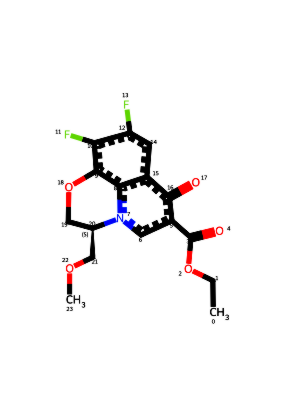 CCOC(=O)c1cn2c3c(c(F)c(F)cc3c1=O)OC[C@@H]2COC